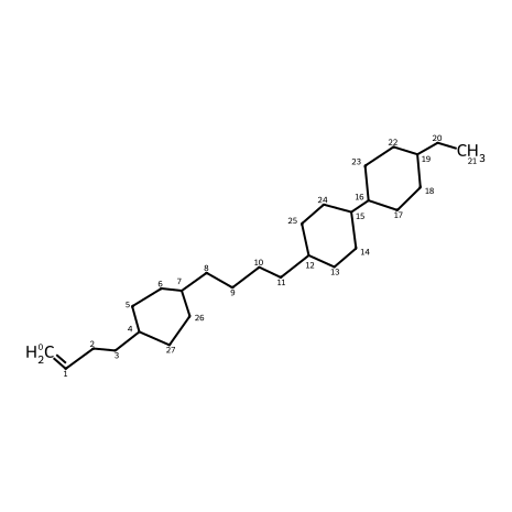 C=CCCC1CCC(CCCCC2CCC(C3CCC(CC)CC3)CC2)CC1